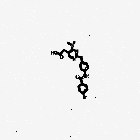 CN(C)c1nc(Cc2ccc(NC(=O)c3ccc(Br)cc3)cc2)ncc1CC(=O)O